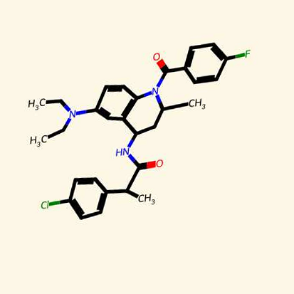 CCN(CC)c1ccc2c(c1)C(NC(=O)C(C)c1ccc(Cl)cc1)CC(C)N2C(=O)c1ccc(F)cc1